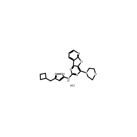 Cl.c1cnc2oc3c(N4CCOCC4)nc(Nc4cc(CC5CCC5)n[nH]4)nc3c2c1